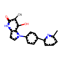 Cc1cccc(-c2ccc(-n3ccc4[nH]c(=O)c(C#N)c(O)c43)cc2)n1